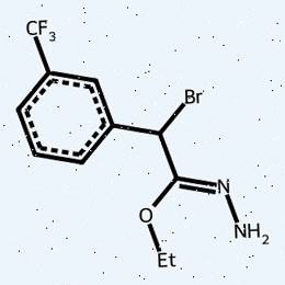 CCOC(=NN)C(Br)c1cccc(C(F)(F)F)c1